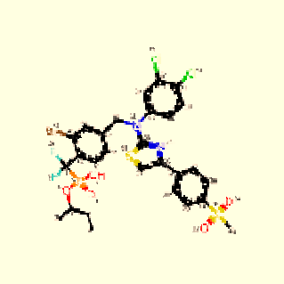 CCC(C)OP(=O)(O)C(F)(F)c1ccc(CN(c2ccc(Cl)c(Cl)c2)c2nc(-c3ccc(S(C)(=O)=O)cc3)cs2)cc1Br